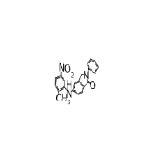 Cc1ccc([N+](=O)[O-])cc1Nc1ccc2c(c1)CN(c1ccccc1)C2=O